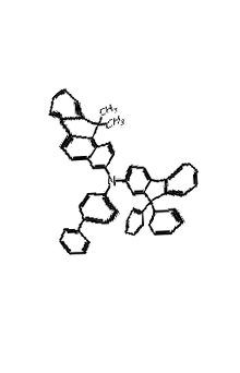 CC1(C)c2ccccc2-c2ccc3cc(N(c4ccc(-c5ccccc5)cc4)c4ccc5c(c4)C(c4ccccc4)(c4ccccc4)c4ccccc4-5)ccc3c21